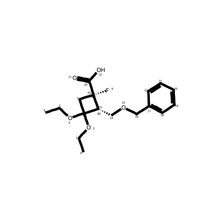 CCOC1(OCC)C[C@@](F)(C(=O)O)[C@@H]1COCc1ccccc1